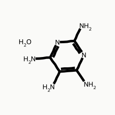 Nc1nc(N)c(N)c(N)n1.O